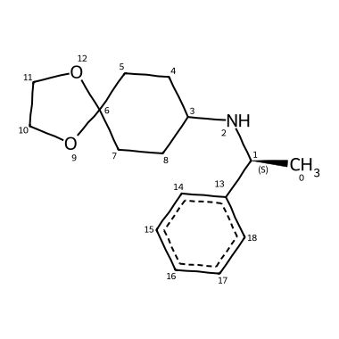 C[C@H](NC1CCC2(CC1)OCCO2)c1ccccc1